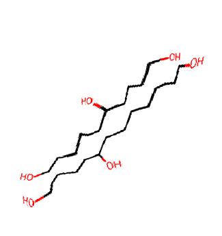 OCCCCCC(O)CCCCO.OCCCCCCCC(O)CCCCO